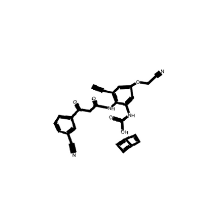 C#Cc1cc(OCC#N)cc(NC(=O)O)c1NC(=O)CC(=O)c1cccc(C#N)c1.c1cc2ccc1-2